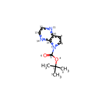 CC(C)(C)OC(=O)n1ccc2nccnc21